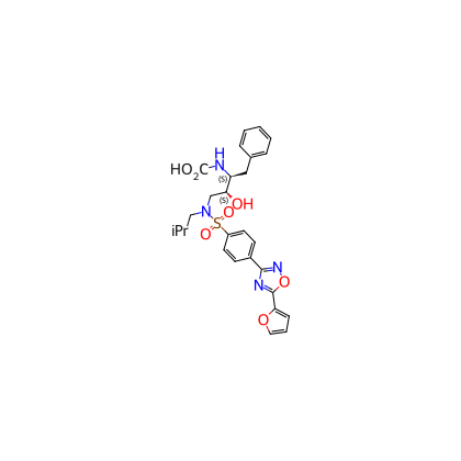 CC(C)CN(C[C@H](O)[C@H](Cc1ccccc1)NC(=O)O)S(=O)(=O)c1ccc(-c2noc(-c3ccco3)n2)cc1